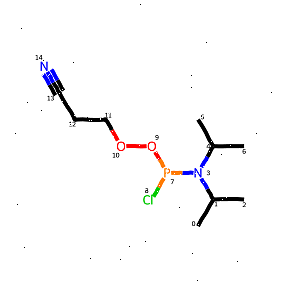 CC(C)N(C(C)C)P(Cl)OOCCC#N